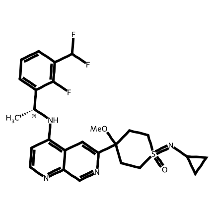 COC1(c2cc3c(N[C@H](C)c4cccc(C(F)F)c4F)ccnc3cn2)CCS(=O)(=NC2CC2)CC1